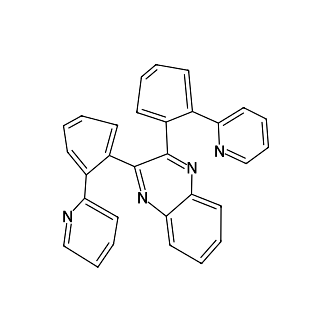 c1ccc(-c2ccccc2-c2nc3ccccc3nc2-c2ccccc2-c2ccccn2)nc1